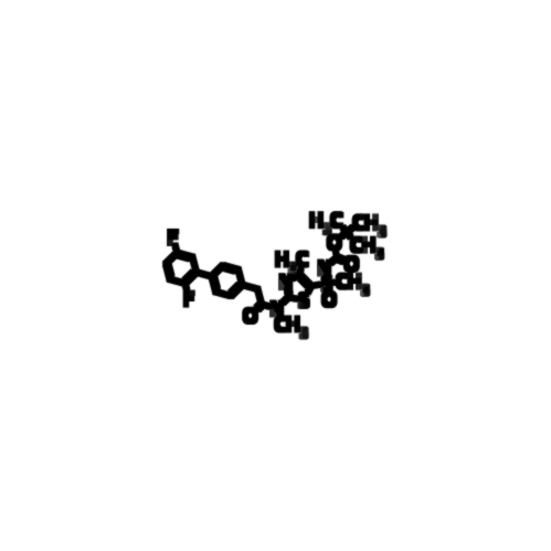 Cc1nc(N(C)C(=O)Cc2ccc(-c3cc(F)ccc3F)cc2)sc1S(C)(=O)=NC(=O)OC(C)(C)C